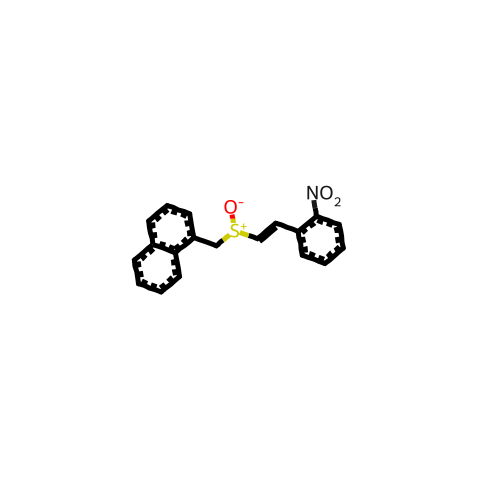 O=[N+]([O-])c1ccccc1C=C[S+]([O-])Cc1cccc2ccccc12